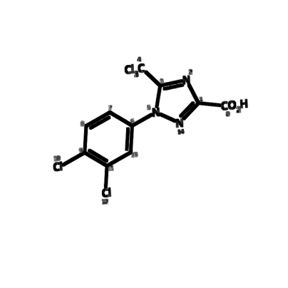 O=C(O)c1nc(C(Cl)(Cl)Cl)n(-c2ccc(Cl)c(Cl)c2)n1